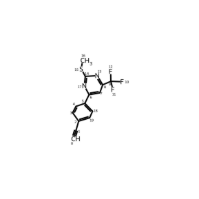 C#Cc1ccc(-c2cc(C(F)(F)F)nc(SC)n2)cc1